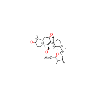 C=C(CC[C@@H](C)[C@H]1CC[C@H]2C3=C(C(=O)C[C@]12C)[C@@]1(C)CCC(=O)[C@@H](C)C1CC3=O)C(C)C(=O)OC